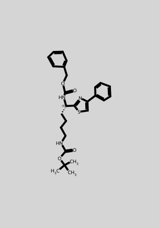 CC(C)(C)OC(=O)NCCCC[C@H](NC(=O)OCc1ccccc1)c1nc(-c2ccccc2)cs1